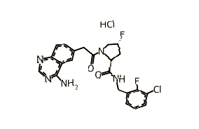 Cl.Nc1ncnc2ccc(CC(=O)N3C[C@H](F)C[C@H]3C(=O)NCc3cccc(Cl)c3F)cc12